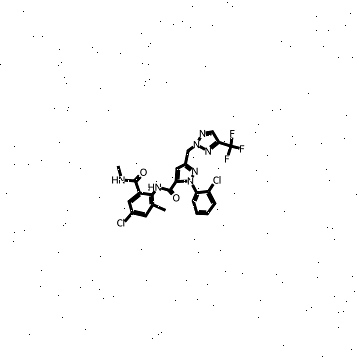 CNC(=O)c1cc(Cl)cc(C)c1NC(=O)c1cc(Cn2ncc(C(F)(F)F)n2)nn1-c1ccccc1Cl